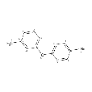 CC(C)(C)c1ccc(Oc2cccc(C(F)(F)F)c2)cc1